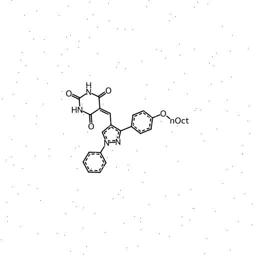 CCCCCCCCOc1ccc(-c2nn(-c3ccccc3)cc2C=C2C(=O)NC(=O)NC2=O)cc1